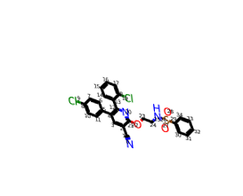 N#Cc1cc(-c2ccc(Cl)cc2)c(-c2ccccc2Cl)nc1OCCNS(=O)(=O)c1ccccc1